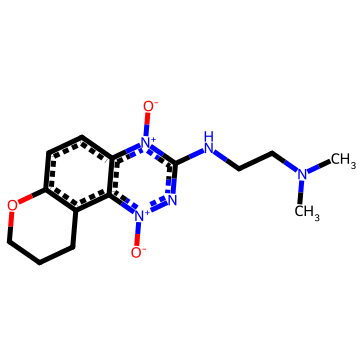 CN(C)CCNc1n[n+]([O-])c2c3c(ccc2[n+]1[O-])OCCC3